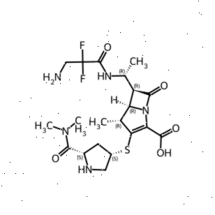 C[C@@H](NC(=O)C(F)(F)CN)[C@H]1C(=O)N2C(C(=O)O)=C(S[C@@H]3CN[C@H](C(=O)N(C)C)C3)[C@H](C)[C@@H]12